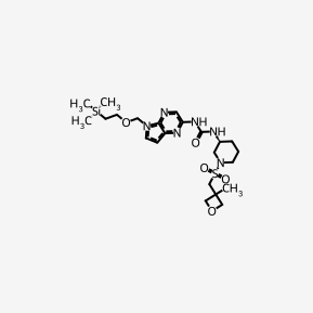 CC1(CS(=O)(=O)N2CCC[C@H](NC(=O)Nc3cnc4c(ccn4COCC[Si](C)(C)C)n3)C2)COC1